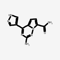 NC(=O)c1ccc2c(-c3cn[nH]c3)nc(N)nn12